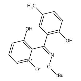 Cc1ccc(O)c(C(=NOC(C)(C)C)c2c(O)ccc[n+]2[O-])c1